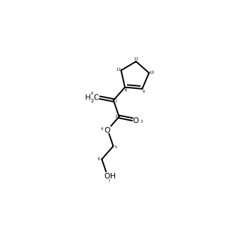 C=C(C(=O)OCCO)C1=CCCC1